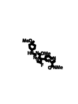 CNC(=O)c1cnc2ccc(-c3c(F)cn4nc(NC5CCC(C)(OC)CC5)nc(OC)c34)cn12